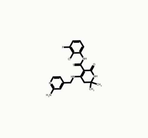 CC1(C)CC(NCc2ccnc(N)c2)=C(C(=S)Nc2cccc(F)c2Cl)C(=O)N1